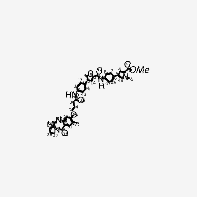 COC(=O)c1cc(-c2ccc(NC(=O)c3cc(-c4ccc(NC(=O)CCCOc5cc6c(cc5C)C(=O)N5CCC[C@H]5C=N6)cc4)co3)cc2)cn1C